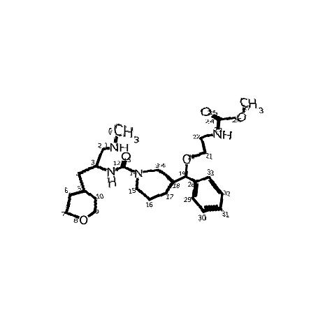 CNCC(CC1CCOCC1)NC(=O)N1CCCC(C(OCCNC(=O)OC)c2ccccc2)C1